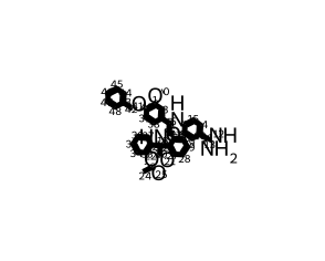 COc1cc(C(Nc2ccc(C(=N)N)cc2)C(=O)NC(C(=O)OC(C)=O)(c2ccccc2)c2ccccc2)ccc1OCc1ccccc1